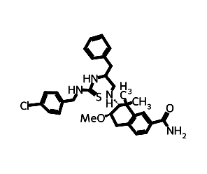 CO[C@@H]1Cc2ccc(C(N)=O)cc2C(C)(C)[C@H]1NCC(Cc1ccccc1)NC(=S)NCc1ccc(Cl)cc1